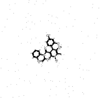 C=C(O)N(C(=O)C1=C(C)N(C(C)=O)C(C)=C(C#N)C1c1ccc(Cl)cc1Cl)c1ccccc1OC